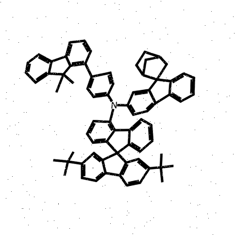 CC(C)(C)c1ccc2c(c1)C1(c3cc(C(C)(C)C)ccc3-2)c2ccccc2-c2c(N(c3ccc(-c4cccc5c4C(C)(C)c4ccccc4-5)cc3)c3ccc4c(c3)C3(CC5CCC3C5)c3ccccc3-4)cccc21